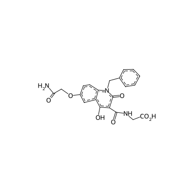 NC(=O)COc1ccc2c(c1)c(O)c(C(=O)NCC(=O)O)c(=O)n2Cc1ccccc1